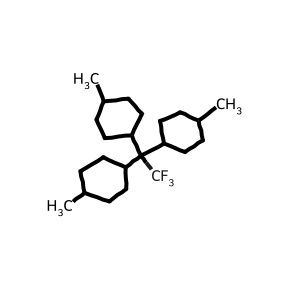 CC1CCC(C(C2CCC(C)CC2)(C2CCC(C)CC2)C(F)(F)F)CC1